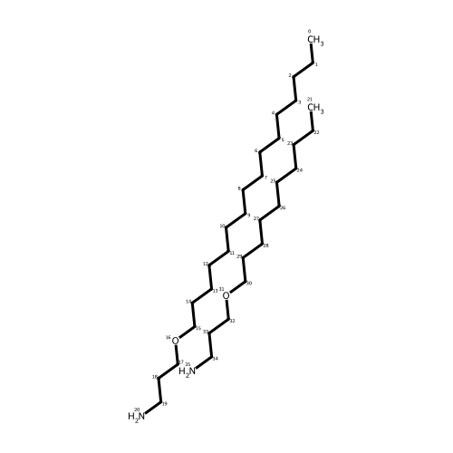 CCCCCCCCCCCCCCCCOCCCN.CCCCCCCCCCOCCCN